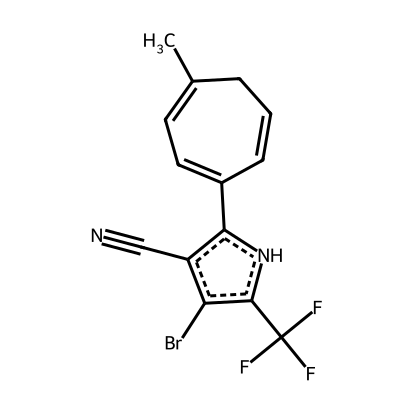 CC1=CC=C(c2[nH]c(C(F)(F)F)c(Br)c2C#N)C=CC1